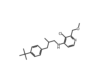 COCc1nccc(NCC(C)Cc2ccc(C(C)(C)C)cc2)c1Cl